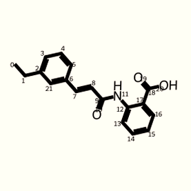 CCc1cccc(/C=C/C(=O)Nc2ccccc2C(=O)O)c1